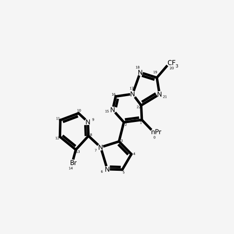 CCCc1c(-c2ccnn2-c2ncccc2Br)ncn2nc(C(F)(F)F)nc12